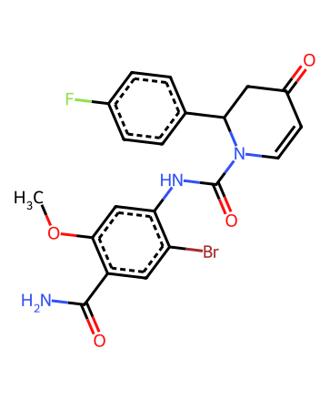 COc1cc(NC(=O)N2C=CC(=O)CC2c2ccc(F)cc2)c(Br)cc1C(N)=O